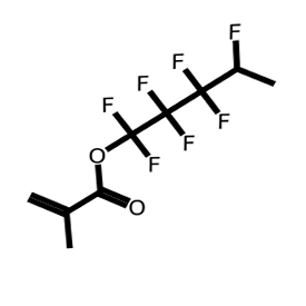 C=C(C)C(=O)OC(F)(F)C(F)(F)C(F)(F)C(C)F